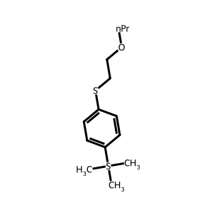 CCCOCCSc1ccc(S(C)(C)C)cc1